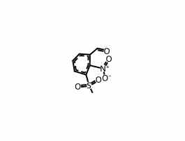 CS(=O)(=O)c1cccc(C=O)c1[N+](=O)[O-]